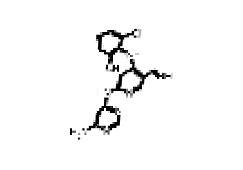 N#Cc1cccc(Cl)c1Nc1cc(Nc2cc(N)ncn2)ncc1C=N